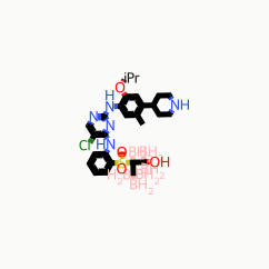 BC(B)(B)C(B)(C(B)(B)O)S(=O)(=O)c1ccccc1Nc1nc(Nc2cc(C)c(C3CCNCC3)cc2OC(C)C)ncc1Cl